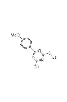 CCSc1nc(O)cc(-c2ccc(OC)cc2)n1